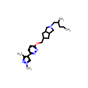 CCCC(C)CN1CC2CC(COc3ccc(-c4cn(C)nc4C)nn3)CC2C1